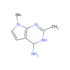 CC1=Nc2c(ccn2C(C)(C)C)C(N)N1